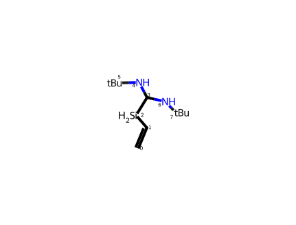 C=C[SiH2]C(NC(C)(C)C)NC(C)(C)C